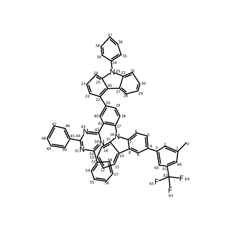 Cc1cc(-c2ccc3c(c2)c2ccccc2n3-c2ccc(-c3cccc4c3c3ccccc3n4-c3ccccc3)cc2-c2nc(-c3ccccc3)nc(-c3ccccc3)n2)cc(C(F)(F)F)c1